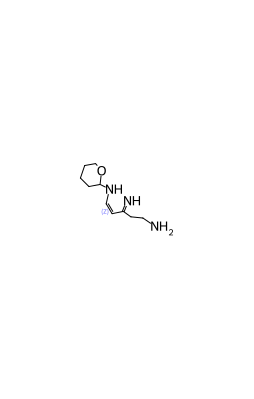 N=C(/C=C\NC1CCCCO1)CCN